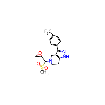 CS(=O)(=O)C(C1CO1)N1CCc2[nH]nc(-c3ccc(C(F)(F)F)cc3)c2C1